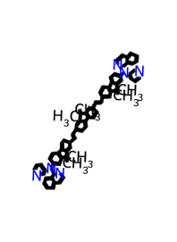 CC1(C)C2=CC(/C=C/c3ccc4c(c3)C(C)(C)c3cc(/C=C/c5ccc6c(c5)C(C)(C)c5cc(N(c7cccnc7)c7nccc8ccccc78)ccc5-6)ccc3-4)CC=C2c2ccc(N(c3cccnc3)c3nccc4ccccc34)cc21